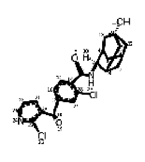 O=C(N[C@H]1C2CC3CC1C[C@](O)(C3)C2)c1ccc(C(=O)c2cccnc2Cl)cc1Cl